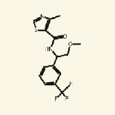 COCC(NC(=O)c1scnc1C)c1cccc(C(F)(F)F)c1